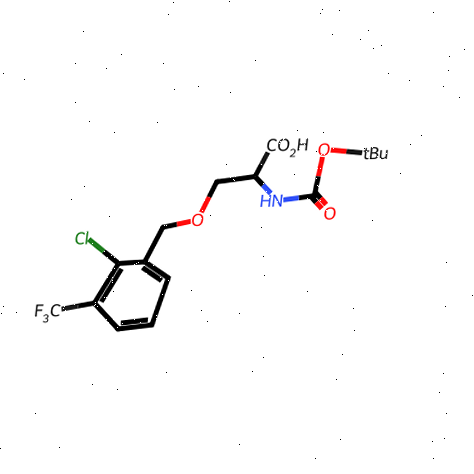 CC(C)(C)OC(=O)NC(COCc1cccc(C(F)(F)F)c1Cl)C(=O)O